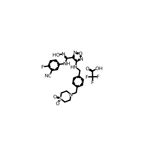 N#Cc1cc(N/C(=N\O)c2nonc2NCc2ccc(CN3CCS(=O)(=O)CC3)cc2)ccc1F.O=C(O)C(F)(F)F